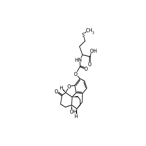 CSCCC(NC(=O)Oc1ccc2c3c1O[C@H]1C(=O)CC[C@@]4(O)[C@H](CCC[C@]314)C2)C(=O)O